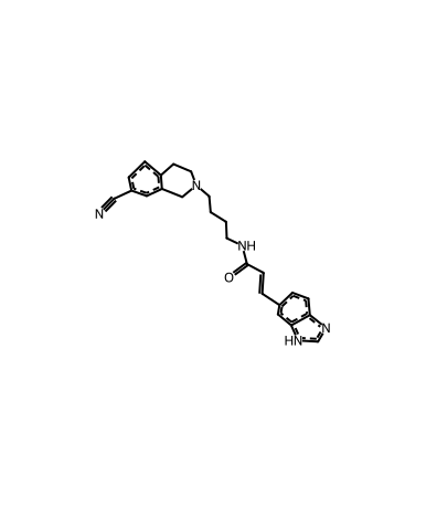 N#Cc1ccc2c(c1)CN(CCCCNC(=O)C=Cc1ccc3nc[nH]c3c1)CC2